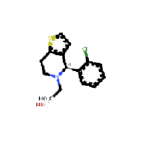 Br.O=C(O)CN1CCc2sccc2[C@H]1c1ccccc1Cl